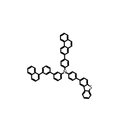 c1cc(-c2cccc(N(c3ccc(-c4ccc5c(ccc6ccccc65)c4)cc3)c3ccc(-c4ccc5sc6ccccc6c5c4)cc3)c2)cc(-c2cccc3ccccc23)c1